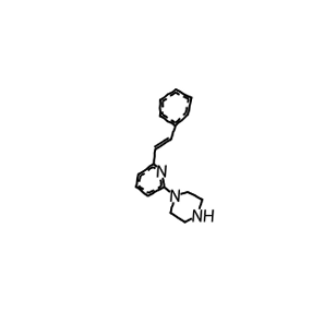 C(=Cc1cccc(N2CCNCC2)n1)c1ccccc1